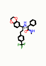 CNC(=O)[C@H](N[C@@H](CCc1ccc(C(F)(F)F)cc1)c1ccc2c(c1)OCCO2)c1ccccc1